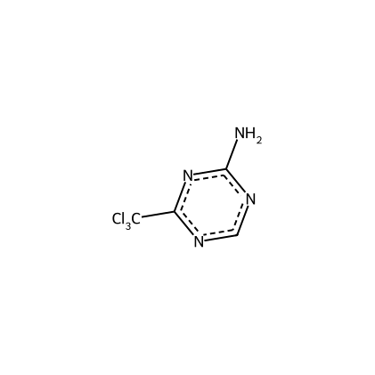 Nc1ncnc(C(Cl)(Cl)Cl)n1